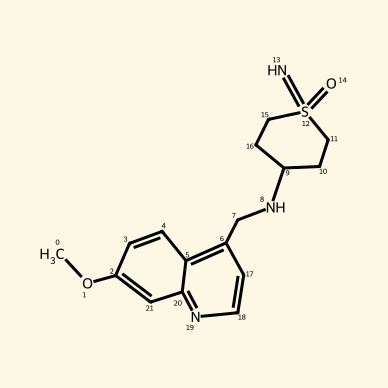 COc1ccc2c(CNC3CCS(=N)(=O)CC3)ccnc2c1